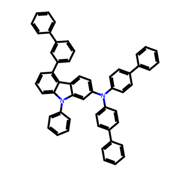 c1ccc(-c2ccc(N(c3ccc(-c4ccccc4)cc3)c3ccc4c5c(-c6cccc(-c7ccccc7)c6)cccc5n(-c5ccccc5)c4c3)cc2)cc1